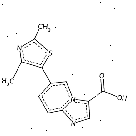 Cc1nc(C)c(-c2ccc3ncc(C(=O)O)n3c2)s1